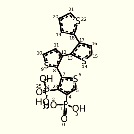 O=P(O)(O)c1csc(-c2sccc2-c2sccc2-c2cccs2)c1P(=O)(O)O